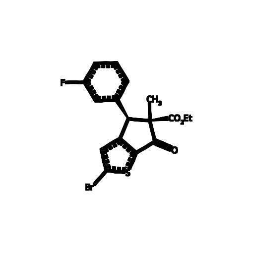 CCOC(=O)[C@@]1(C)C(=O)c2sc(Br)cc2[C@H]1c1cccc(F)c1